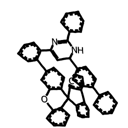 C1=C(c2ccccc2-c2ccc3c(c2)Oc2ccccc2C32c3ccccc3-c3ccccc32)N=C(c2ccccc2)NC1c1ccc(-c2ccccc2)cc1